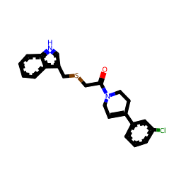 O=C(CSCc1c[nH]c2ccccc12)N1CC=C(c2cccc(Cl)c2)CC1